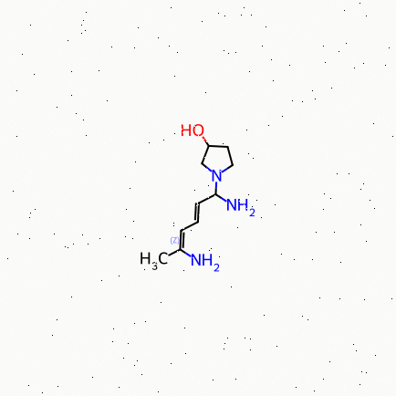 C/C(N)=C/C=CC(N)N1CCC(O)C1